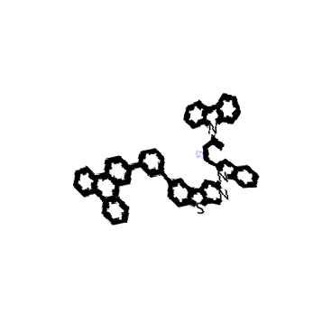 C=C(/C=C\c1cc2ccccc2n1-c1cc2c(cn1)sc1ccc(-c3cccc(-c4ccc5c6ccccc6c6ccccc6c5c4)c3)cc12)n1c2ccccc2c2ccccc21